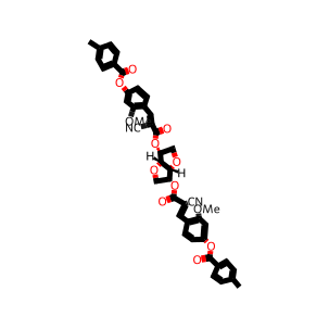 COc1cc(OC(=O)c2ccc(C)cc2)ccc1/C=C(\C#N)C(=O)O[C@H]1CO[C@H]2[C@@H]1OC[C@H]2OC(=O)/C(C#N)=C/c1ccc(OC(=O)c2ccc(C)cc2)cc1OC